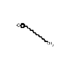 CCCCCCCCCCCCCCCCc1ccc([O])cc1